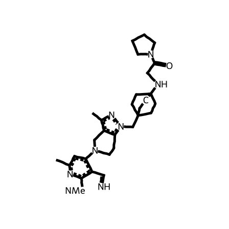 CNc1nc(C)cc(N2CCc3c(c(C)nn3CC34CCC(NCC(=O)N5CCCC5)(CC3)CC4)C2)c1C=N